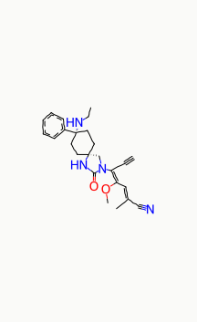 C#C/C(=C(\C=C(/C)C#N)OC)N1C[C@]2(CC[C@](NCC)(c3ccccc3)CC2)NC1=O